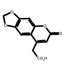 O=C(O)Cc1cc(=O)oc2cc3c(cc12)OCO3